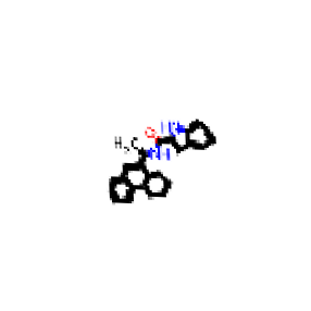 CC(NC(=O)c1cc2ccccc2[nH]1)c1cc2ccccc2c2ccccc12